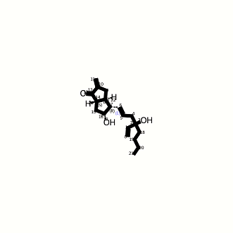 C=CC(O)(C/C=C/[C@H]1[C@@H]2CC(=C)C(=O)[C@H]2C[C@H]1O)CCCC